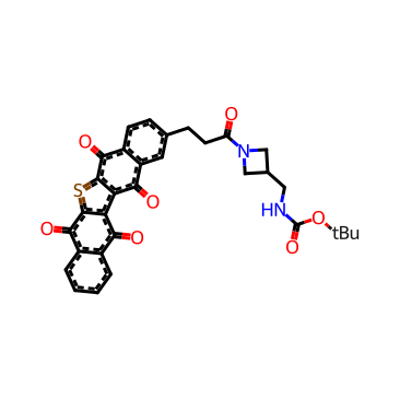 CC(C)(C)OC(=O)NCC1CN(C(=O)CCc2ccc3c(=O)c4sc5c(=O)c6ccccc6c(=O)c5c4c(=O)c3c2)C1